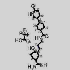 N=C(N)c1ccc(O)c(/C=C/CNC(=O)c2ccc(-c3ccc(=O)[nH]c3)cc2)c1.O=C(O)C(F)(F)F